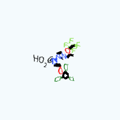 CC(CN1C=CN(N(CCOc2c(Cl)cc(Cl)cc2Cl)C(=O)O)C1)OC(F)(F)C(F)F